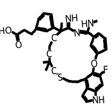 CN/C1=N\C(=N)C(C)(c2cccc(CCC(=O)O)c2)CCCC(C)(C)CSCCc2c(c(F)cc3[nH]ccc23)Oc2cccc1c2